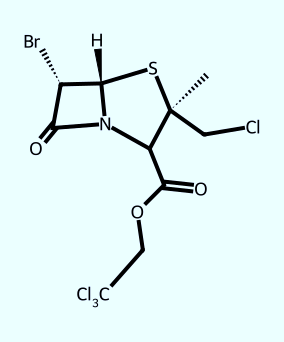 C[C@@]1(CCl)S[C@H]2[C@@H](Br)C(=O)N2C1C(=O)OCC(Cl)(Cl)Cl